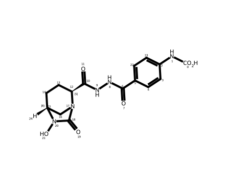 O=C(O)Nc1ccc(C(=O)NNC(=O)[C@@H]2CC[C@@H]3CN2C(=O)N3O)cc1